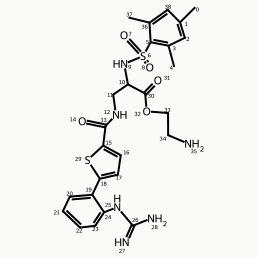 Cc1cc(C)c(S(=O)(=O)NC(CNC(=O)c2ccc(-c3ccccc3NC(=N)N)s2)C(=O)OCCN)c(C)c1